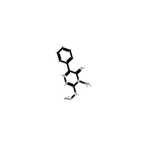 CCCCCCOc1nnc(-c2ccccc2)c(=O)n1N